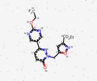 CCOC(=O)c1cc(Cn2nc(-c3cnc(OCC(F)(F)F)nc3)ccc2=O)on1